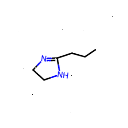 CCCC1=NCCN1